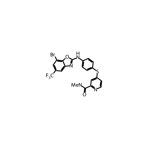 CNC(=O)c1cc(Sc2ccc(Nc3nc4cc(C(F)(F)F)cc(Br)c4o3)cc2)ccn1